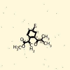 C=C(C(=O)OC)c1ccc(F)cc1C(=O)C(C)C